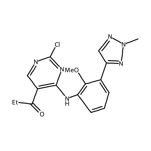 CCC(=O)c1cnc(Cl)nc1Nc1cccc(-c2cnn(C)n2)c1OC